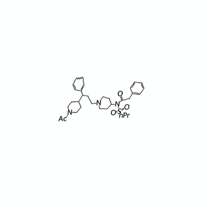 CCCS(=O)(=O)N(C(=O)Cc1ccccc1)C1CCN(CCC(c2ccccc2)C2CCN(C(C)=O)CC2)CC1